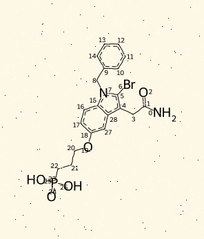 NC(=O)Cc1c(Br)n(Cc2ccccc2)c2ccc(OCCCP(=O)(O)O)cc12